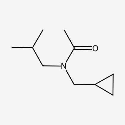 CC(=O)N(CC(C)C)CC1CC1